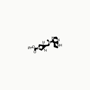 CC(C)OC(=O)N1C[C@@H]2C(CN(C)c3ncnc4[nH]ccc34)[C@@H]2C1